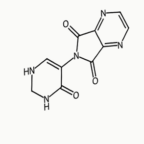 O=C1NCNC=C1N1C(=O)c2nccnc2C1=O